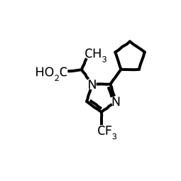 CC(C(=O)O)n1cc(C(F)(F)F)nc1C1CCCC1